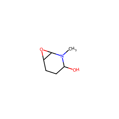 CN1C(O)CCC2OC21